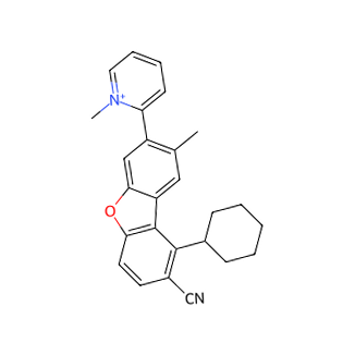 Cc1cc2c(cc1-c1cccc[n+]1C)oc1ccc(C#N)c(C3CCCCC3)c12